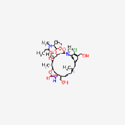 CCC(=O)N(C)C(C)C(=O)OC1CC(=O)N(C)c2cc(cc(CO)c2Cl)C/C(C)=C/C=C/C(CO)C2(O)CC(OC(=O)N2)C(C)C2OC12C